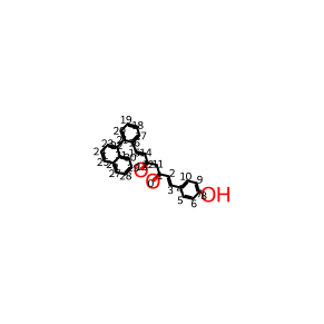 O=C(C=Cc1ccc(O)cc1)CC(=O)C=Cc1ccccc1-c1cccc2ccccc12